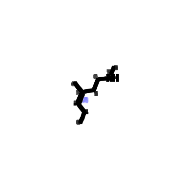 CC/C=C(/C)CCNC